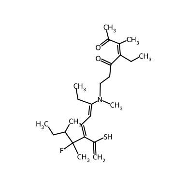 C=C(S)/C(=C\C=C(/CC)N(C)CCC(=O)/C(CC)=C(/C)C(C)=O)C(C)(F)C(C)CC